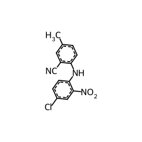 Cc1ccc(Nc2ccc(Cl)cc2[N+](=O)[O-])c(C#N)c1